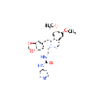 COc1cc2c(cc1OC)C(Cc1ccc3c(c1)OCO3)N(CCNC(=O)Nc1ccncc1)CC2